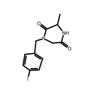 CC1NC(=O)CN(Cc2ccc(I)cc2)C1=O